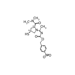 CC(=NC(=O)OCc1ccc([N+](=O)[O-])cc1)N1C[C@@H](S)C[C@H]1C(=O)N(C)C